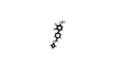 CCOc1ccc(C2CCC(COC3CCC3)CC2)c(F)c1F